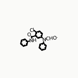 O=[C]N(c1ccccc1)c1ccc(Cl)c(C(=O)Nc2ccccc2)c1